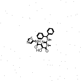 CN(c1nc(C(=O)Nc2cncs2)c(O)c(=O)n1C)C(c1ccccc1)c1ccccc1